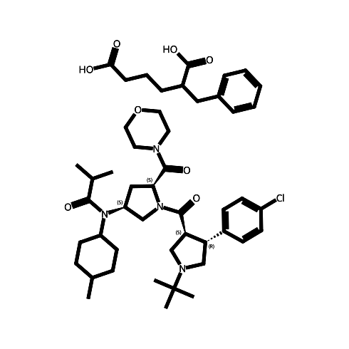 CC1CCC(N(C(=O)C(C)C)[C@H]2C[C@@H](C(=O)N3CCOCC3)N(C(=O)[C@@H]3CN(C(C)(C)C)C[C@H]3c3ccc(Cl)cc3)C2)CC1.O=C(O)CCCC(Cc1ccccc1)C(=O)O